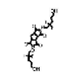 O=C1C2CC3C(=O)N(OCC(F)(F)CCCO)C(=O)C3C2C(=O)N1OCC(F)(F)CCCO